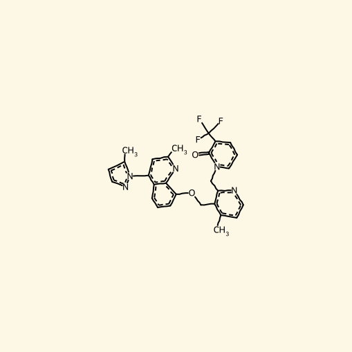 Cc1cc(-n2nccc2C)c2cccc(OCc3c(C)ccnc3Cn3cccc(C(F)(F)F)c3=O)c2n1